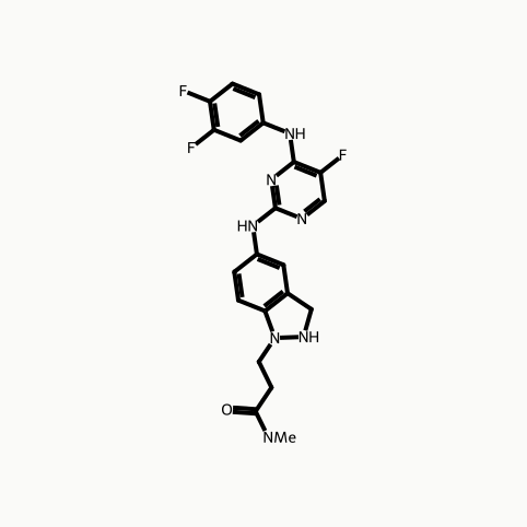 CNC(=O)CCN1NCc2cc(Nc3ncc(F)c(Nc4ccc(F)c(F)c4)n3)ccc21